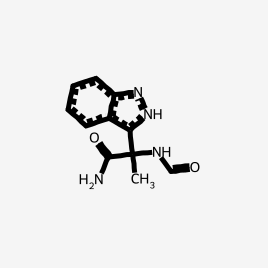 CC(NC=O)(C(N)=O)c1[nH]nc2ccccc12